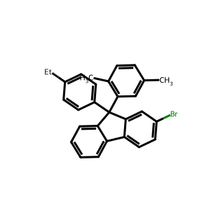 CCc1ccc(C2(c3cc(C)ccc3C)c3ccccc3-c3ccc(Br)cc32)cc1